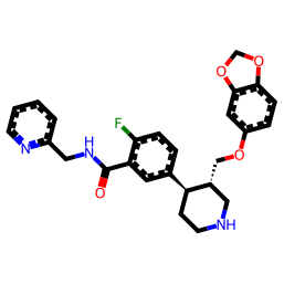 O=C(NCc1ccccn1)c1cc([C@@H]2CCNC[C@H]2COc2ccc3c(c2)OCO3)ccc1F